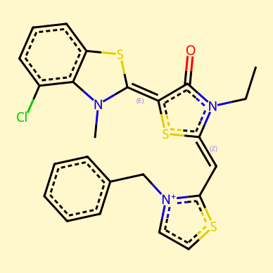 CCn1c(=O)/c(=C2\Sc3cccc(Cl)c3N2C)s/c1=C\c1scc[n+]1Cc1ccccc1